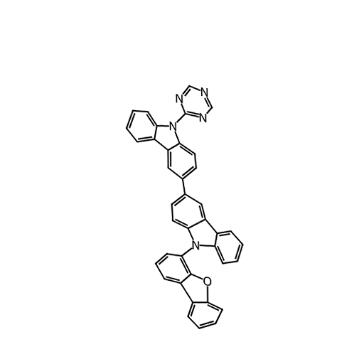 c1ccc2c(c1)oc1c(-n3c4ccccc4c4cc(-c5ccc6c(c5)c5ccccc5n6-c5ncncn5)ccc43)cccc12